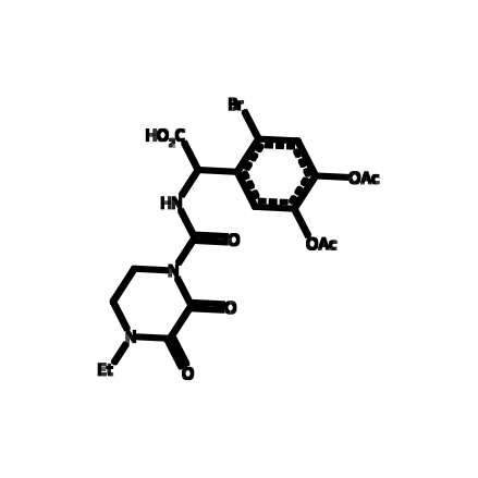 CCN1CCN(C(=O)NC(C(=O)O)c2cc(OC(C)=O)c(OC(C)=O)cc2Br)C(=O)C1=O